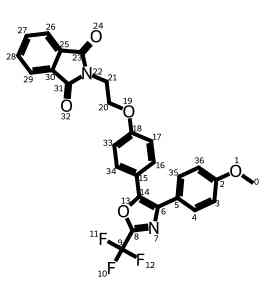 COc1ccc(-c2nc(C(F)(F)F)oc2-c2ccc(OCCN3C(=O)c4ccccc4C3=O)cc2)cc1